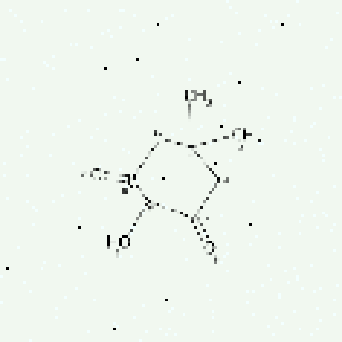 CC1(C)CC(=O)C(O)[P](=O)C1